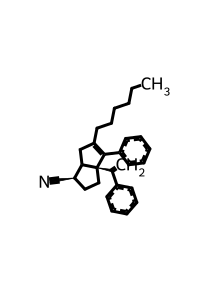 C=C(c1ccccc1)[C@@]12CC[C@@H](C#N)C1CC(CCCCCC)=C2c1ccccc1